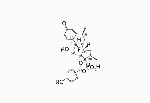 C[C@@H]1C[C@H]2[C@@H]3C[C@H](F)C4=CC(=O)C=C[C@]4(C)[C@@]3(F)[C@@H](O)C[C@]2(C)[C@]1(OC(=O)O)OC(=O)c1ccc(C#N)cc1